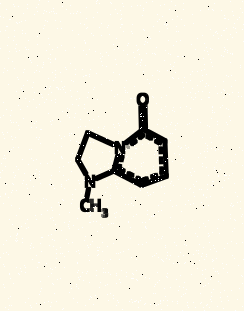 CN1CCn2c1cccc2=O